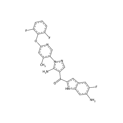 Cc1cc(Oc2c(F)cccc2F)ncc1-n1ncc(C(=O)c2cc3cc(F)c(N)cc3[nH]2)c1N